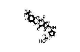 Cn1c(N[C@@H]2CC[C@H](OC(=O)O)C2)nc2c1c(=O)n(Cc1ccc(C(F)(F)F)cc1)c(=O)n2C